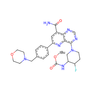 CC(C)(C)OC(=O)NC1CN(c2ncnc3c(C(N)=O)cc(-c4ccc(CN5CCOCC5)cc4)nc23)CCC1F